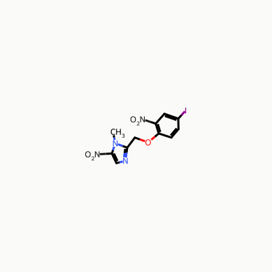 Cn1c([N+](=O)[O-])cnc1COc1ccc(I)cc1[N+](=O)[O-]